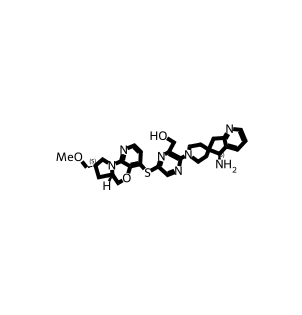 COC[C@H]1C[C@H]2COc3c(Sc4cnc(N5CCC6(CC5)Cc5ncccc5[C@H]6N)c(CO)n4)ccnc3N2C1